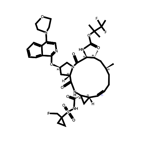 C[C@H]1CC/C=C\[C@@H]2C[C@@]2(C(=O)NS(=O)(=O)C2(CF)CC2)NC(=O)[C@@H]2C[C@@H](Oc3ncc(N4CCOCC4)c4ccccc34)CN2C(=O)[C@@H](NC(=O)OC(C)(C)C(C)(F)F)[C@H](C)C1